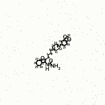 NC(=O)Nc1c(CCCCN2CCN(c3ccc4c(c3)OCO4)CC2)oc2ccccc12